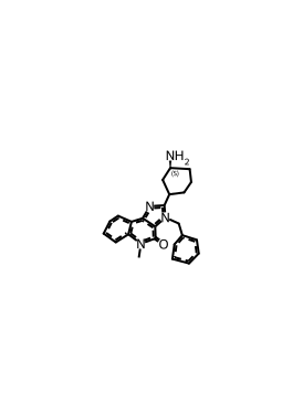 Cn1c(=O)c2c(nc(C3CCC[C@H](N)C3)n2Cc2ccccc2)c2ccccc21